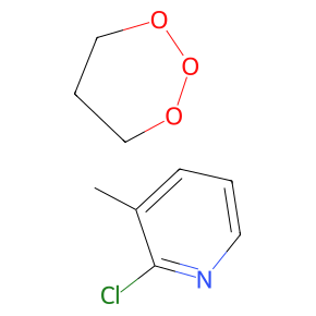 C1COOOC1.Cc1cccnc1Cl